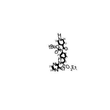 CCOC(=O)[C@H](Cc1ccc(N(C(=O)OC(C)(C)C)C(=O)C2CCNCC2)cc1)Nc1nccnc1Cl